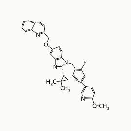 COc1ccc(-c2ccc(Cn3c([C@@H]4CC4(C)C)nc4cc(OCc5ccc6ccccc6n5)ccc43)c(F)c2)cn1